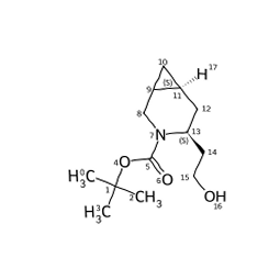 CC(C)(C)OC(=O)N1CC2C[C@H]2C[C@H]1CCO